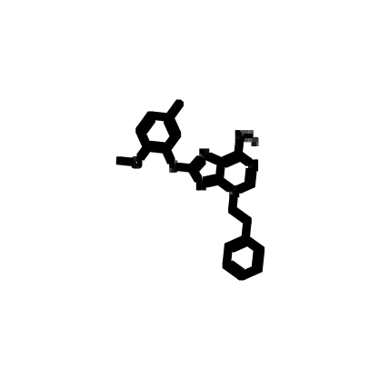 COc1ccc(C)cc1Sc1nc2c(N)ncn(CCc3ccccc3)c-2n1